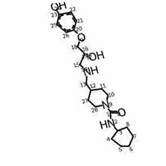 O=C(NC1CCCCC1)N1CCC(CNC[C@H](O)COc2ccc(O)cc2)CC1